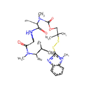 CCC(C)C(C(CC)OC)N(C)C(=O)CNC(=O)C(C(C)C)N(C)C(=O)OCC(C)(C)SSc1nc2ccccc2n1C